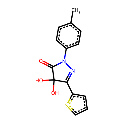 Cc1ccc(N2N=C(c3cccs3)C(O)(O)C2=O)cc1